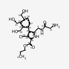 CCCOC(=O)c1[nH]c(CNC(=O)CN)c(-c2ccc(CO)c(CO)c2CO)c1Cl